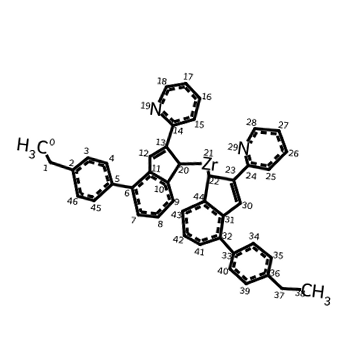 CCc1ccc(-c2cccc3c2C=C(c2ccccn2)[CH]3[Zr][CH]2C(c3ccccn3)=Cc3c(-c4ccc(CC)cc4)cccc32)cc1